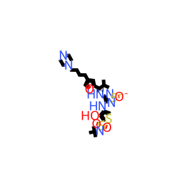 CC(C)[C@@H](Nc1n[s+]([O-])nc1Nc1csc(S(=O)(=O)N(C)C(C)(C)C)c1O)c1cc(CCCCN2CCN(C)CC2)co1